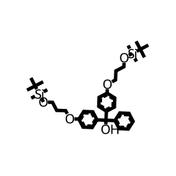 CC(C)(C)[Si](C)(C)OCCCOc1ccc(C(O)(c2ccccc2)c2ccc(OCCCO[Si](C)(C)C(C)(C)C)cc2)cc1